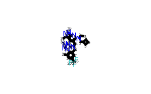 CCN(CC1CCC1)c1nc2c(cc1CN(Cc1cc(C)cc(C(F)(F)F)c1)c1nnn(C)n1)c(C)nn2C